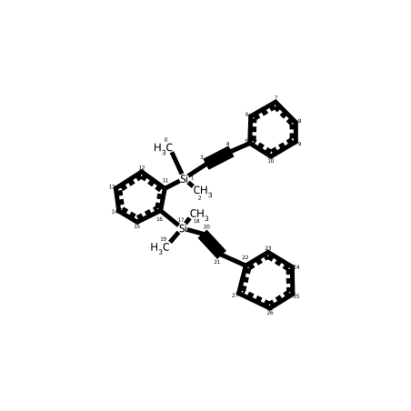 C[Si](C)(C#Cc1ccccc1)c1ccccc1[Si](C)(C)C#Cc1ccccc1